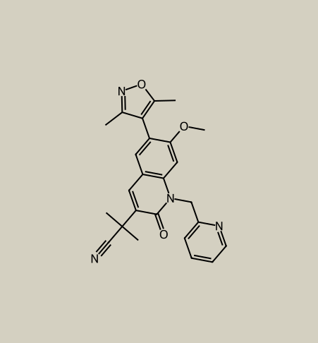 COc1cc2c(cc1-c1c(C)noc1C)cc(C(C)(C)C#N)c(=O)n2Cc1ccccn1